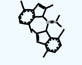 CC1=Cc2c(C)ccc(C)c2[CH]1[Hf]([CH]1C(C)=Cc2c(C)ccc(C)c21)=[Si](C)C